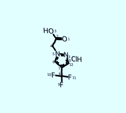 Cl.O=C(O)Cn1cc(C(F)(F)F)cn1